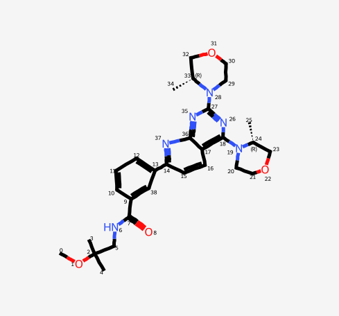 COC(C)(C)CNC(=O)c1cccc(-c2ccc3c(N4CCOC[C@H]4C)nc(N4CCOC[C@H]4C)nc3n2)c1